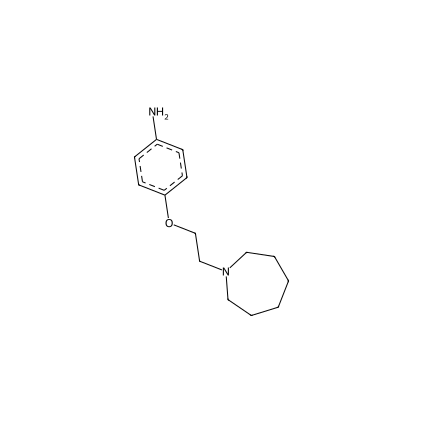 Nc1ccc(OCCN2CCCCCC2)cc1